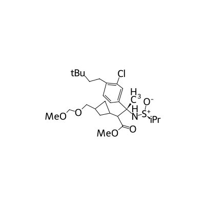 COCOCC1CC(C(C(=O)OC)[C@@](C)(N[S@@+]([O-])C(C)C)c2ccc(CCC(C)(C)C)c(Cl)c2)C1